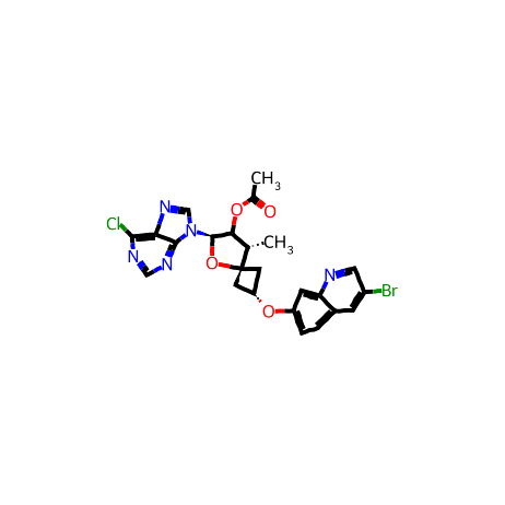 CC(=O)OC1[C@H](n2cnc3c(Cl)ncnc32)O[C@]2(C[C@@H](Oc3ccc4cc(Br)cnc4c3)C2)[C@H]1C